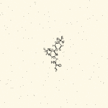 C=CC(=O)NCc1cn2cc(C)nc2c(-c2ccc(C(F)(F)F)cc2)n1